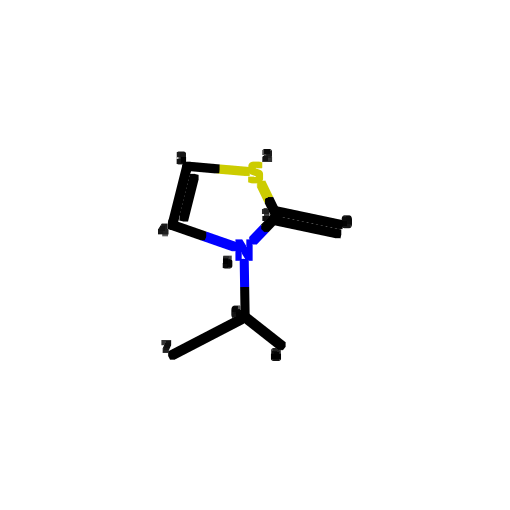 C=C1SC=CN1C(C)C